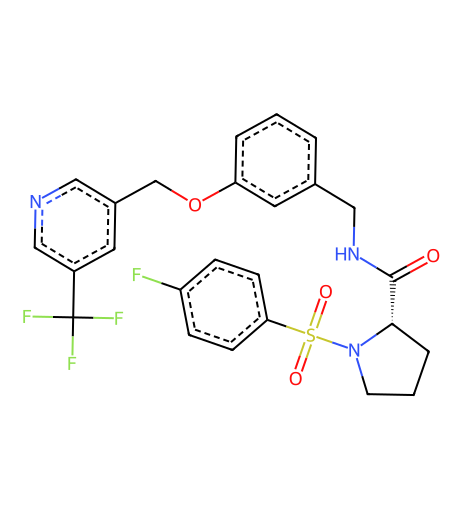 O=C(NCc1cccc(OCc2cncc(C(F)(F)F)c2)c1)[C@@H]1CCCN1S(=O)(=O)c1ccc(F)cc1